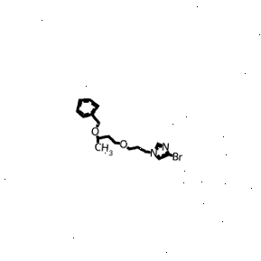 CC(CCOCCCn1cnc(Br)c1)OCc1ccccc1